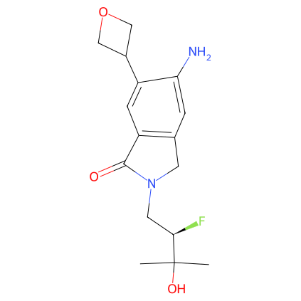 CC(C)(O)[C@H](F)CN1Cc2cc(N)c(C3COC3)cc2C1=O